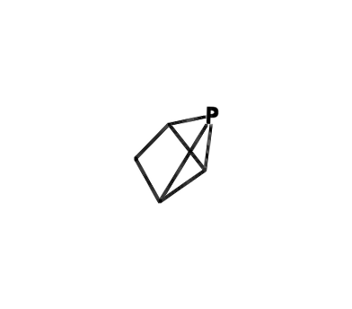 C1C2C3C1P23